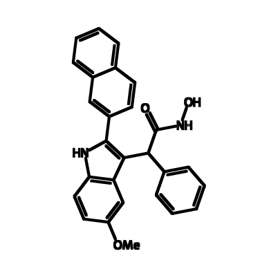 COc1ccc2[nH]c(-c3ccc4ccccc4c3)c(C(C(=O)NO)c3ccccc3)c2c1